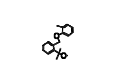 Cc1ccccc1OCc1ccccc1C(C)(C)[O]